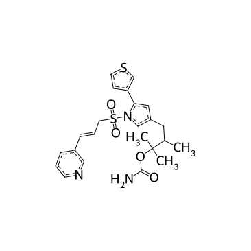 CC(Cc1cc(-c2ccsc2)n(S(=O)(=O)CC=Cc2cccnc2)c1)C(C)(C)OC(N)=O